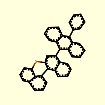 c1ccc(-c2c3ccccc3c(-c3cc4c(c5ccccc35)-c3cccc5cccc(c35)S4)c3ccccc23)cc1